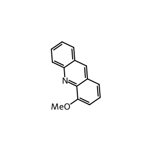 COc1cccc2cc3ccccc3nc12